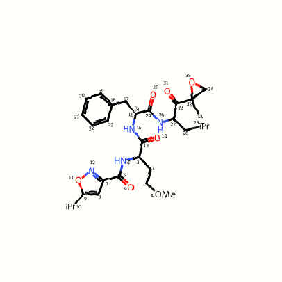 COCCC(NC(=O)c1cc(C(C)C)on1)C(=O)N[C@@H](Cc1ccccc1)C(=O)NC(CC(C)C)C(=O)C1(C)CO1